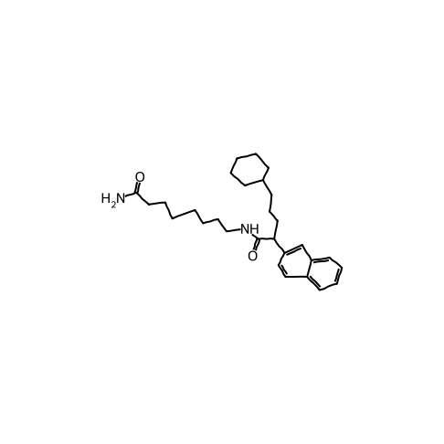 NC(=O)CCCCCCCNC(=O)C(CCCC1CCCCC1)c1ccc2ccccc2c1